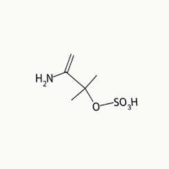 C=C(N)C(C)(C)OS(=O)(=O)O